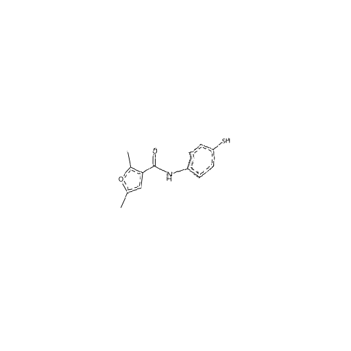 Cc1cc(C(=O)Nc2ccc(S)cc2)c(C)o1